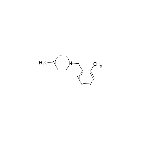 Cc1cccnc1CN1CCN(C)CC1